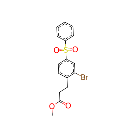 COC(=O)CCc1ccc(S(=O)(=O)c2ccccc2)cc1Br